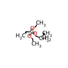 C=C.C=C[Si](OCC)(OCC)OCC